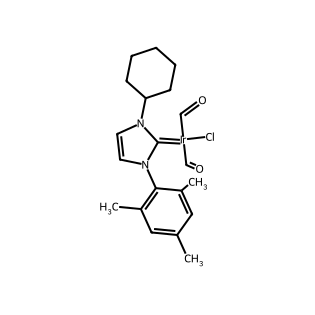 Cc1cc(C)c(-n2ccn(C3CCCCC3)[c]2=[Ir]([Cl])([CH]=O)[CH]=O)c(C)c1